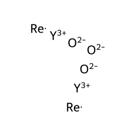 [O-2].[O-2].[O-2].[Re].[Re].[Y+3].[Y+3]